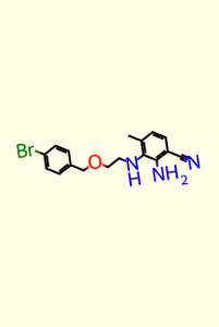 Cc1ccc(C#N)c(N)c1NCCOCc1ccc(Br)cc1